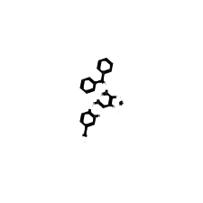 CN(c1cc2c(ncn2C)c(N=C(c2ccccc2)c2ccccc2)n1)c1ccc(C#N)cc1F